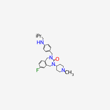 CC(C)CNc1ccc(CN2Cc3ccc(F)cc3CN(C3CCN(C)CC3)C2=O)cc1